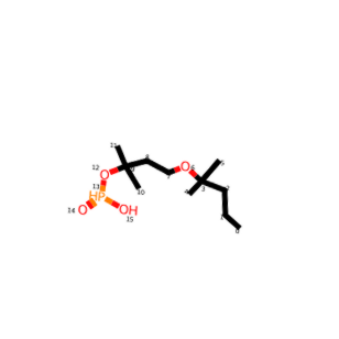 CCCC(C)(C)OCCC(C)(C)O[PH](=O)O